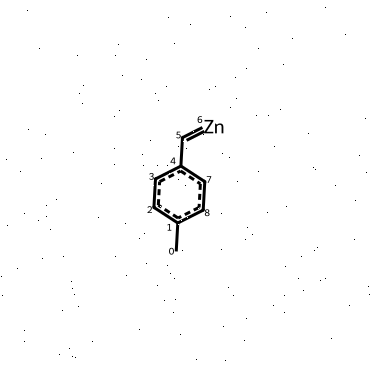 Cc1ccc([CH]=[Zn])cc1